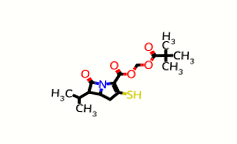 CC(C)C1C(=O)N2C(C(=O)OCOC(=O)C(C)(C)C)=C(S)CC12